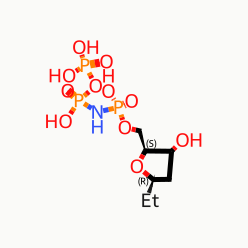 CC[C@@H]1CC(O)[C@H](COP(=O)(O)NP(=O)(O)OP(=O)(O)O)O1